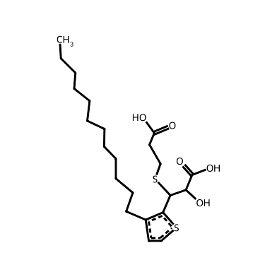 CCCCCCCCCCCCc1ccsc1C(SCCC(=O)O)C(O)C(=O)O